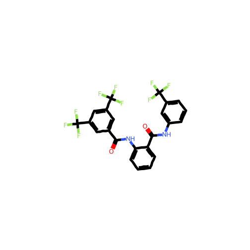 O=C(Nc1ccccc1C(=O)Nc1cccc(C(F)(F)F)c1)c1cc(C(F)(F)F)cc(C(F)(F)F)c1